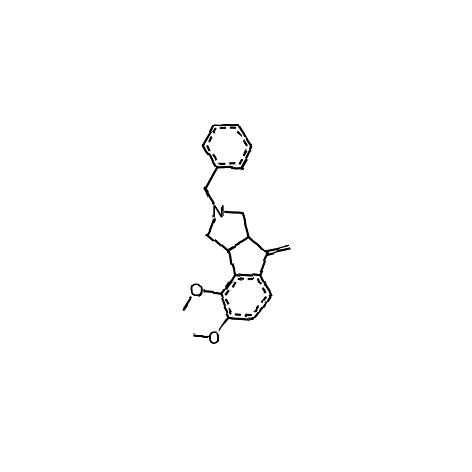 C=C1c2ccc(OC)c(OC)c2C2CN(Cc3ccccc3)CC12